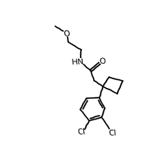 COCCNC(=O)CC1(c2ccc(Cl)c(Cl)c2)CCC1